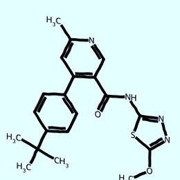 COc1nnc(NC(=O)c2cnc(C)cc2-c2ccc(C(C)(C)C)cc2)s1